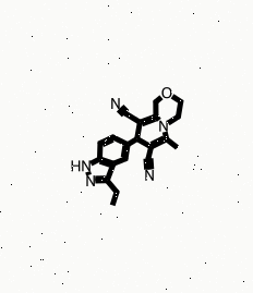 CCc1n[nH]c2ccc(C3C(C#N)=C(C)N4CCOCC4=C3C#N)cc12